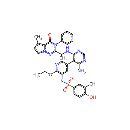 CCOc1ncc(-c2c(N)ncnc2NC(C)c2nn3ccc(C)c3c(=O)n2-c2ccccc2)cc1NS(=O)(=O)c1ccc(O)c(C)c1